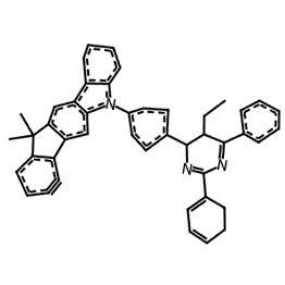 CCC1C(c2ccccc2)=NC(C2=CC=CCC2)=NC1c1ccc(-n2c3ccccc3c3cc4c(cc32)-c2c#cccc2C4(C)C)cc1